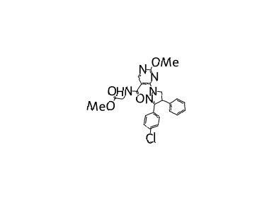 COC(=O)CNC(=O)c1cnc(OC)nc1N1CC(c2ccccc2)C(c2ccc(Cl)cc2)=N1